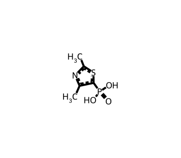 Cc1nc(C)c(P(=O)(O)O)s1